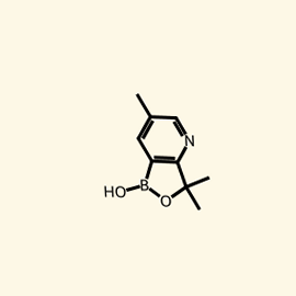 Cc1cnc2c(c1)B(O)OC2(C)C